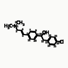 CN(C)CC=Cc1ccc(C(O)Cc2ccc(Cl)cc2)cc1